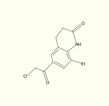 CCc1cc(C(=O)CCl)cc2c1NC(=O)CC2